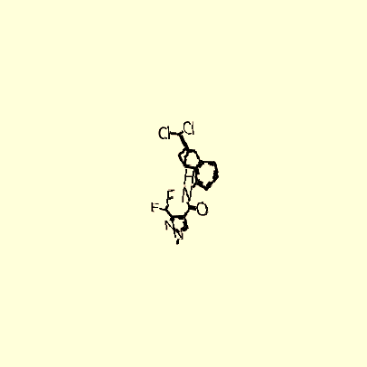 Cn1cc(C(=O)Nc2cccc3c2C2CCC3C(=C(Cl)Cl)C2)c(C(F)F)n1